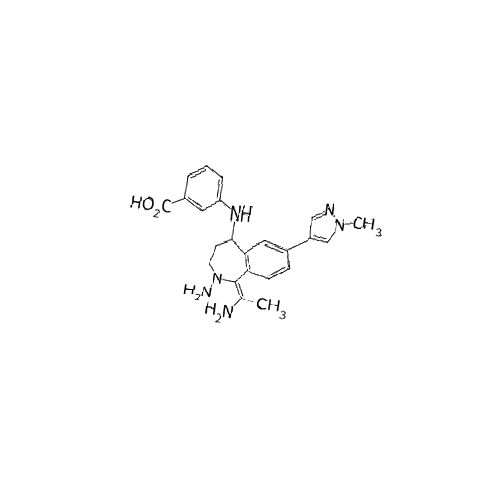 C/C(N)=C1\c2ccc(-c3cnn(C)c3)cc2C(Nc2cccc(C(=O)O)c2)CCN1N